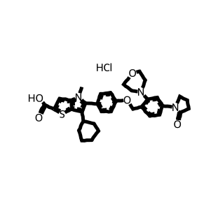 Cl.Cn1c(-c2ccc(OCc3ccc(N4CCCC4=O)cc3N3CCOCC3)cc2)c(C2CCCCC2)c2sc(C(=O)O)cc21